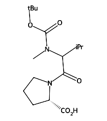 CC(C)C(C(=O)N1CCC[C@H]1C(=O)O)N(C)C(=O)OC(C)(C)C